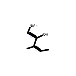 C/C=C(C)\C(O)=C\NC